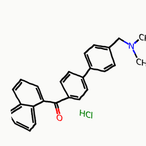 CN(C)Cc1ccc(-c2ccc(C(=O)c3cccc4ccccc34)cc2)cc1.Cl